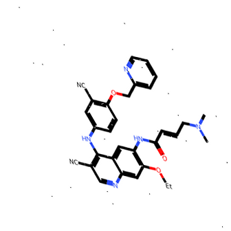 CCOc1cc2ncc(C#N)c(Nc3ccc(OCc4ccccn4)c(C#N)c3)c2cc1NC(=O)/C=C/CN(C)C